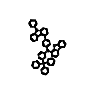 c1ccc(-n2c3ccccc3c3c(-c4ccc(N(c5cccc([Si](c6ccccc6)(c6ccccc6)c6ccccc6)c5)c5cccc6c5oc5ccccc56)cc4)cccc32)cc1